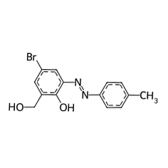 Cc1ccc(/N=N/c2cc(Br)cc(CO)c2O)cc1